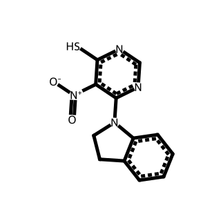 O=[N+]([O-])c1c(S)ncnc1N1CCc2ccccc21